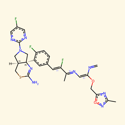 C=N\C(=C/N=C(C)/C(F)=C/c1ccc(F)c([C@@]23CN(c4ncc(F)cn4)C[C@@H]2CSC(N)=N3)c1)OCc1nc(C)no1